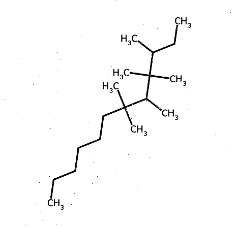 CCCCCCC(C)(C)[C](C)C(C)(C)C(C)CC